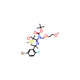 COCCOCN(C(=O)OC(C)(C)C)C1=N[C@](C)(c2cc(Br)ccc2F)C[SH](C)(=O)C1(C)C